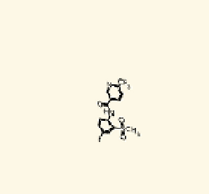 CS(=O)(=O)c1cc(F)ccc1NC(=O)c1ccc(C(F)(F)F)nc1